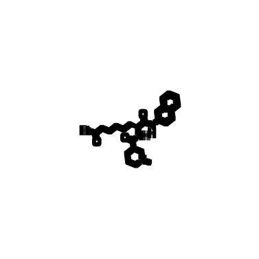 CCC(=O)CCCCC[C@H](NC(=O)C1CCCN(C)C1)C(=O)Nc1ccc2ccccc2c1